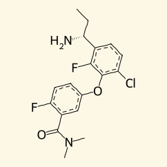 CC[C@@H](N)c1ccc(Cl)c(Oc2ccc(F)c(C(=O)N(C)C)c2)c1F